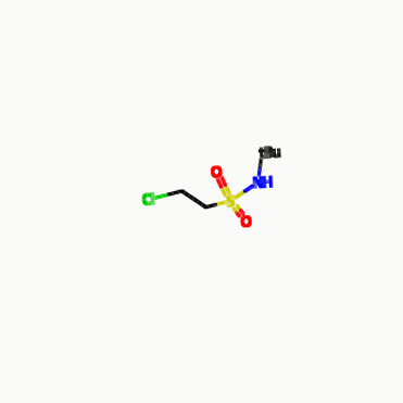 CC(C)(C)NS(=O)(=O)CCCl